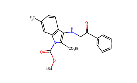 CCOC(=O)c1c(NCC(=O)c2ccccc2)c2ccc(C(F)(F)F)cc2n1C(=O)OC(C)(C)C